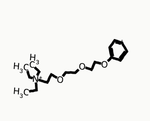 CC[N+](CC)(CC)CCOCCOCCOc1cc[c]cc1